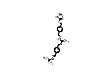 C=C(N)N/N=C/c1ccc(/C=N/C(=C)N/N=C/c2ccc(/C=N/C(=S)NN)cc2)cc1